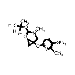 Cc1nc(OC2(CN(C)C(=O)OC(C)(C)C)CC2)ccc1N